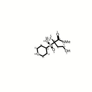 CNC(=O)C(C)(CCO)S(=O)(=O)C1CCOCC1